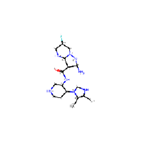 CC1NCN(C2CCNCC2NC(=O)C2C(N)NN3CC(F)CNC23)C1C